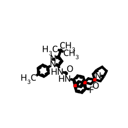 Cc1ccc(-n2nc(C(C)(C)C)cc2NC(=O)Nc2ccc(CC3CC4CCC(C3)N4C(=O)Cc3ccccc3F)cc2)cc1